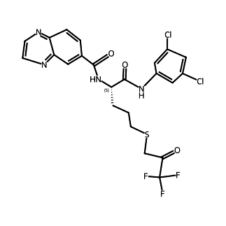 O=C(N[C@@H](CCCSCC(=O)C(F)(F)F)C(=O)Nc1cc(Cl)cc(Cl)c1)c1ccc2nccnc2c1